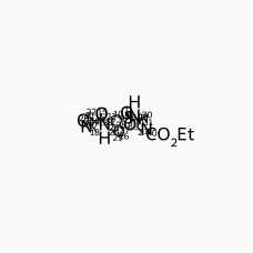 CCOC(=O)N1CC[C@H](NS(=O)(=O)c2ccc(NC(=O)c3c(C)noc3C)c3ccccc23)[C@H](C)C1